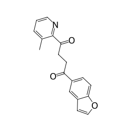 Cc1cccnc1C(=O)CCC(=O)c1ccc2occc2c1